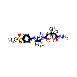 C[C@@H](CNc1ccc(S(C)(=O)=O)cc1)NC(=O)CC(C)(C)CC(N)=O